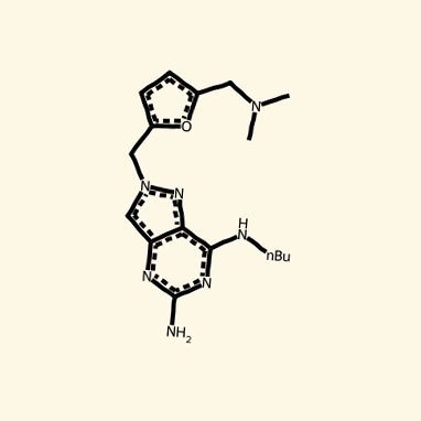 CCCCNc1nc(N)nc2cn(Cc3ccc(CN(C)C)o3)nc12